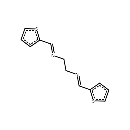 C(=NCCN=Cc1cccs1)c1cccs1